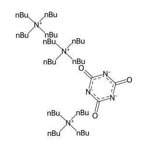 CCCC[N+](CCCC)(CCCC)CCCC.CCCC[N+](CCCC)(CCCC)CCCC.CCCC[N+](CCCC)(CCCC)CCCC.O=c1[n-]c(=O)[n-]c(=O)[n-]1